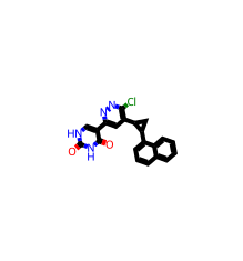 O=c1[nH]cc(-c2cc(C3CC3c3cccc4ccccc34)c(Cl)nn2)c(=O)[nH]1